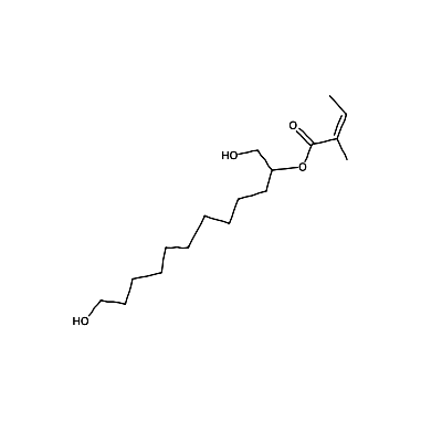 CC=C(C)C(=O)OC(CO)CCCCCCCCCCO